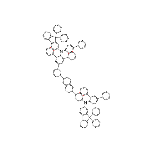 c1ccc(-c2ccc(N(c3ccc4c(c3)C(c3ccccc3)(c3ccccc3)c3ccccc3-4)c3c(-c4ccccc4)cc(-c4cccc(-c5ccc6cc(-c7ccc(N(c8ccc9c(c8)C(c8ccccc8)(c8ccccc8)c8ccccc8-9)c8ccc(-c9ccccc9)cc8-c8ccccc8)cc7)ccc6c5)c4)cc3-c3ccccc3)cc2)cc1